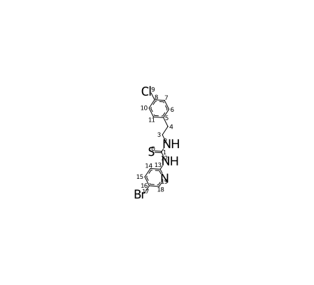 S=C(NCCc1ccc(Cl)cc1)Nc1ccc(Br)cn1